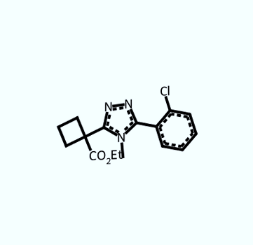 CCOC(=O)C1(c2nnc(-c3ccccc3Cl)n2C)CCC1